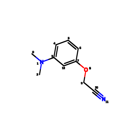 CN(C)c1cccc(OCC#N)c1